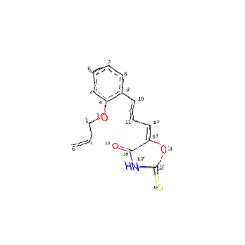 C=CCOc1ccccc1C=CC=C1OC(=S)NC1=O